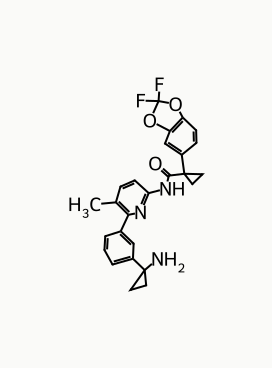 Cc1ccc(NC(=O)C2(c3ccc4c(c3)OC(F)(F)O4)CC2)nc1-c1cccc(C2(N)CC2)c1